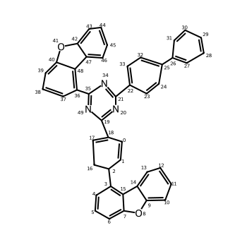 C1=CC(c2cccc3oc4ccccc4c23)CC=C1c1nc(-c2ccc(-c3ccccc3)cc2)nc(-c2cccc3oc4ccccc4c23)n1